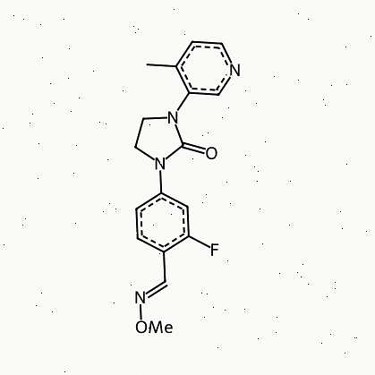 CON=Cc1ccc(N2CCN(c3cnccc3C)C2=O)cc1F